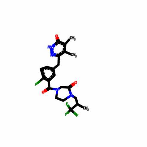 Cc1c(Cc2ccc(F)c(C(=O)N3CCN(CC(C)C(F)(F)F)C(=O)C3)c2)n[nH]c(=O)c1C